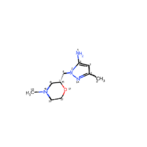 Cc1cc(N)n(C[C@H]2CN(C)CCO2)n1